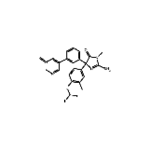 C=N/C=C(\C=N/C)c1cccc(C2(c3ccc(OC(F)F)c(C)c3)N=C(N)N(C)C2=O)c1